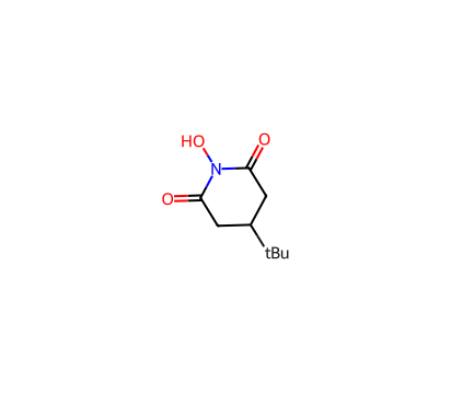 CC(C)(C)C1CC(=O)N(O)C(=O)C1